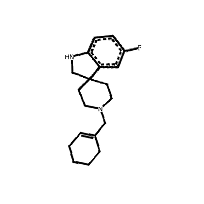 Fc1ccc2c(c1)C1(CCN(CC3=CCCCC3)CC1)CN2